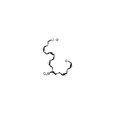 CC/C=C\C/C=C\C/C=C(\C/C=C\C/C=C\C/C=C\CC[C]=O)[N+](=O)[O-]